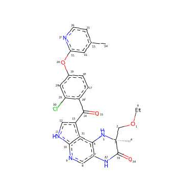 CCOC[C@]1(C)Nc2c(cnc3[nH]cc(C(=O)c4ccc(Oc5cc(C)ccn5)cc4Cl)c23)NC1=O